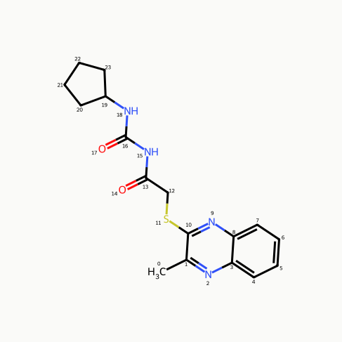 Cc1nc2ccccc2nc1SCC(=O)NC(=O)NC1CCCC1